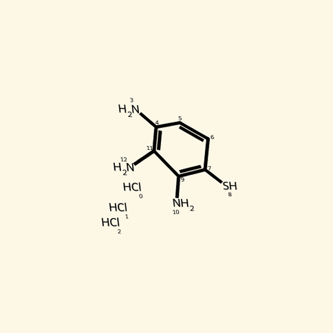 Cl.Cl.Cl.Nc1ccc(S)c(N)c1N